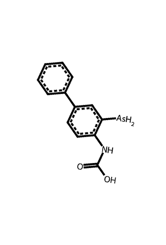 O=C(O)Nc1ccc(-c2ccccc2)cc1[AsH2]